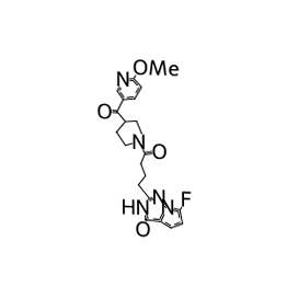 COc1ccc(C(=O)C2CCN(C(=O)CCCc3nn4c(F)ccc4c(=O)[nH]3)CC2)cn1